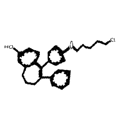 Oc1ccc2c(c1)CCCC(c1ccccc1)=C2c1ccc(OCCCCCCl)cc1